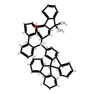 CC1(C)c2ccccc2-c2ccc(N(c3ccc4c(c3)C3(C5=C(CCC=C5)c5ccccc53)c3ccccc3-4)c3ccccc3-c3ccccc3)cc21